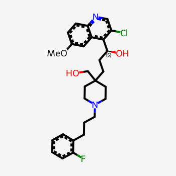 COc1ccc2ncc(Cl)c([C@@H](O)CCC3(CO)CCN(CCCc4ccccc4F)CC3)c2c1